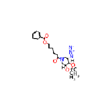 CC1(C)O[C@@H]2[C@@H](N=[N+]=[N-])CN(C(=O)CCCCCOC(=O)c3ccccc3)C[C@@H]2O1